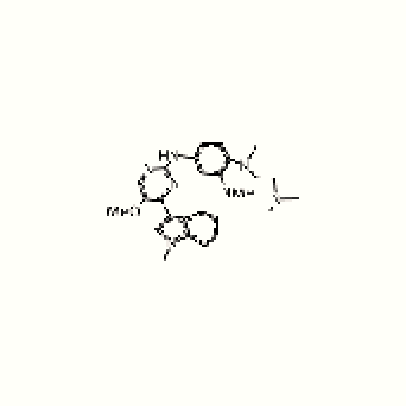 CNc1cc(Nc2ncc(OC)c(-c3cn(C)c4ccccc34)n2)ccc1N(C)CCN(C)C